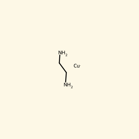 NCCN.[Cu]